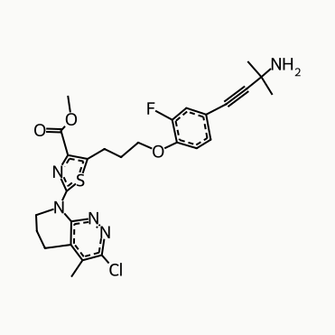 COC(=O)c1nc(N2CCCc3c2nnc(Cl)c3C)sc1CCCOc1ccc(C#CC(C)(C)N)cc1F